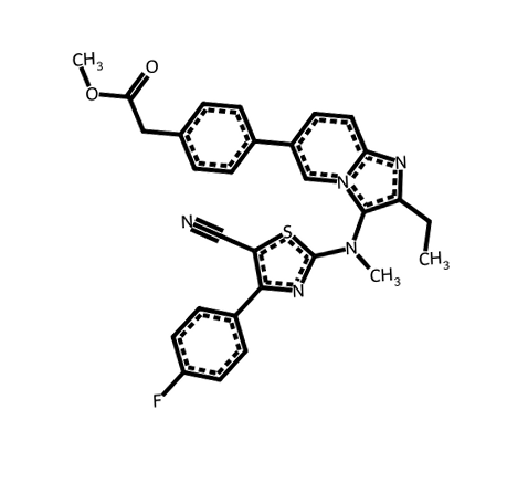 CCc1nc2ccc(-c3ccc(CC(=O)OC)cc3)cn2c1N(C)c1nc(-c2ccc(F)cc2)c(C#N)s1